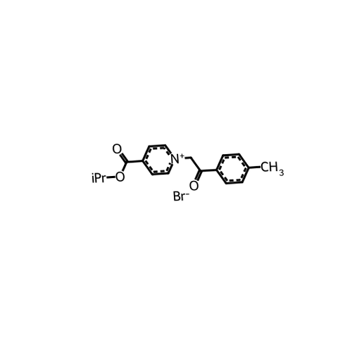 Cc1ccc(C(=O)C[n+]2ccc(C(=O)OC(C)C)cc2)cc1.[Br-]